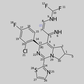 CC1CC2=C(C(=N)/C=C\NC(F)F)[C@H](c3ccc(F)cc3Cl)N=C(c3nccs3)N2C1